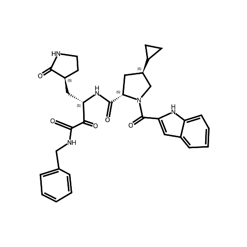 O=C(NCc1ccccc1)C(=O)[C@H](C[C@@H]1CCNC1=O)NC(=O)[C@@H]1C[C@@H](C2CC2)CN1C(=O)c1cc2ccccc2[nH]1